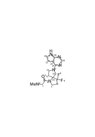 CNCC(=O)N1CCC(F)(F)C12CCN(c1ncnc3[nH]ccc13)C2